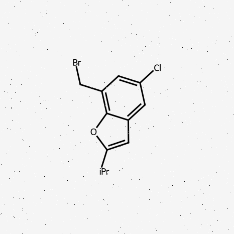 CC(C)c1cc2cc(Cl)cc(CBr)c2o1